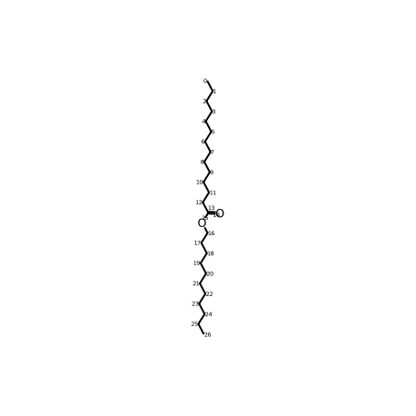 CCCCCCCCCCCCCC(=O)OCCCCCCCCCCC